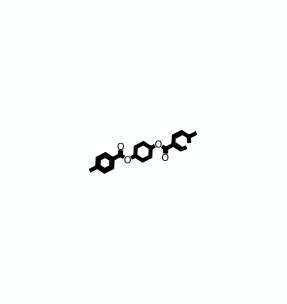 C/C=C(\C=C/C(C)C)C(=O)OC1CCC(OC(=O)c2ccc(C)cc2)CC1